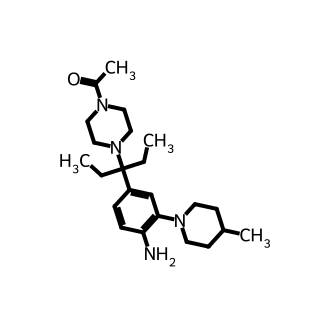 CCC(CC)(c1ccc(N)c(N2CCC(C)CC2)c1)N1CCN(C(C)=O)CC1